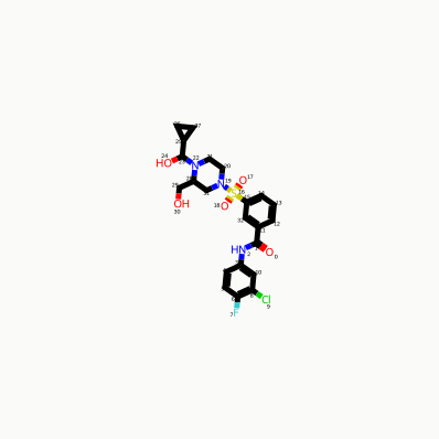 O=C(Nc1ccc(F)c(Cl)c1)c1cccc(S(=O)(=O)N2CCN(C(O)C3CC3)C(CO)C2)c1